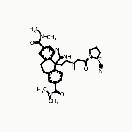 CN(C)C(=O)c1ccc2c(c1)CCc1cc(C(=O)N(C)C)ccc1C2(CCNCC(=O)N1CCC[C@H]1C#N)C(=N)N